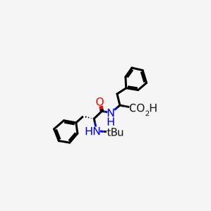 CC(C)(C)N[C@H](Cc1ccccc1)C(=O)NC(Cc1ccccc1)C(=O)O